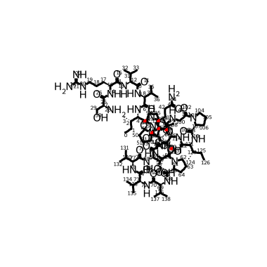 CC[C@H](C)[C@H](NC(=O)[C@@H](NC(=O)[C@@H](NC(=O)[C@H](CCCNC(=N)N)NC(=O)[C@@H](N)CO)C(C)C)C(C)C)C(=O)N[C@@H](CCC(N)=O)C(=O)N1CCC[C@H]1C(=O)N[C@@H](CO)C(=O)N1CCC[C@H]1C(=O)N[C@H](C(=O)N[C@H](C(=O)N[C@H](C(=O)N[C@H](C(=O)N[C@@H](CC(C)C)C(=O)N1CCC[C@H]1C(=O)NCC(=O)N1CCC[C@H]1C(=O)N[C@H](C(=O)N[C@@H](CC(C)C)C(=O)O)[C@@H](C)CC)[C@@H](C)O)C(C)C)C(C)C)C(C)C